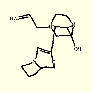 C=CC[N+]12CCN(CC1)C(O)C2C1=CN2CCC2CC1